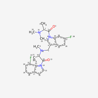 CC(C(=O)n1cc(CN(C)C(C)C(=O)n2ccc3cccc(F)c32)c2ccc(F)cc21)N(C)C